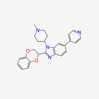 CN1CCC(n2c(C3COc4ccccc4O3)nc3ccc(-c4ccncc4)cc32)CC1